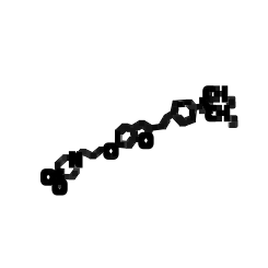 CN(C)c1ccc(/C=C/c2cc3ccc(OCCCN4CCS(=O)(=O)CC4)cc3o2)cc1